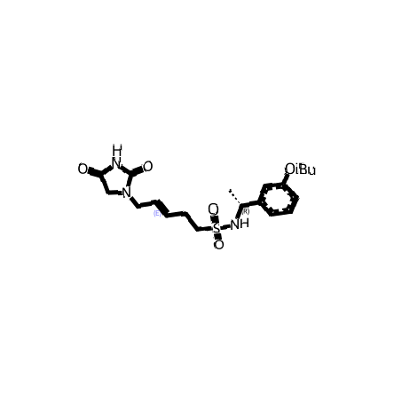 CC(C)COc1cccc([C@@H](C)NS(=O)(=O)CC/C=C/CN2CC(=O)NC2=O)c1